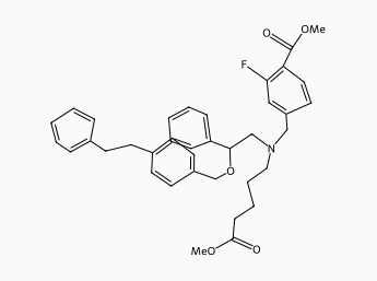 COC(=O)CCCCN(Cc1ccc(C(=O)OC)c(F)c1)CC(OCc1ccc(CCc2ccccc2)cc1)c1ccccc1